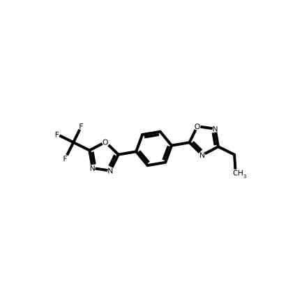 CCc1noc(-c2ccc(-c3nnc(C(F)(F)F)o3)cc2)n1